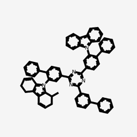 CC1CC=Cc2c3c(n(-c4cc(-c5nc(-c6cccc(-c7ccccc7)c6)nc(-c6ccc(-c7ccccc7)c(-n7c8ccccc8c8ccccc87)c6)n5)ccc4-c4ccccc4)c21)C=CCC3